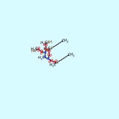 CCCCCCCCCCCCSCC(C)C(=O)OCCOC(=O)CCN(CCCN(C)CCCN(CCC(=O)OCCOC(=O)C(C)CS)CCC(=O)OCCOC(=O)C(C)CS)CCC(=O)OCCOC(=O)C(C)CSCCCCCCCCCCCC